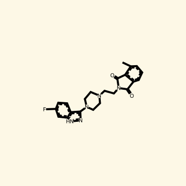 Cc1cccc2c1C(=O)N(CCN1CCN(c3n[nH]c4cc(F)ccc34)CC1)C2=O